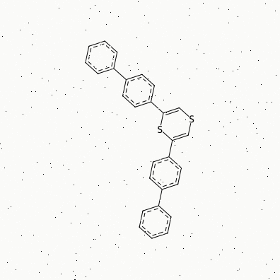 C1=C(c2ccc(-c3ccccc3)cc2)SC(c2ccc(-c3ccccc3)cc2)=CS1